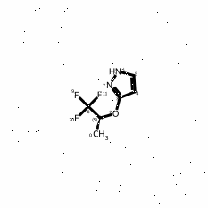 C[C@H](Oc1cc[nH]n1)C(F)(F)F